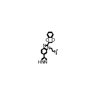 CN(C)CCn1c(C2COc3ccccc3O2)nc2ccc(-c3cn[nH]c3)cc21